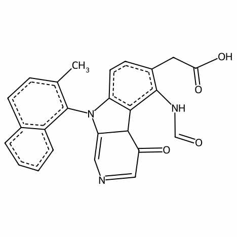 Cc1ccc2ccccc2c1N1C2=CN=CC(=O)C2c2c1ccc(CC(=O)O)c2NC=O